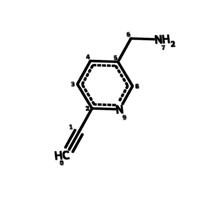 C#Cc1ccc(CN)cn1